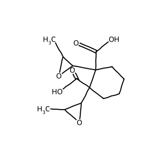 CC1OC1C1(C(=O)O)CCCCC1(C(=O)O)C1OC1C